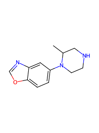 CC1CNCCN1c1ccc2ocnc2c1